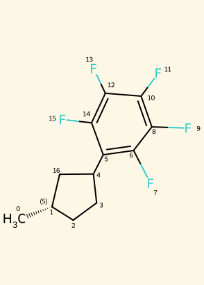 C[C@H]1CCC(c2c(F)c(F)c(F)c(F)c2F)C1